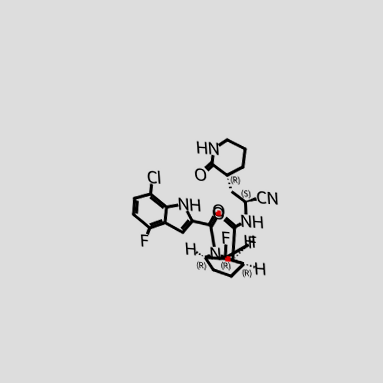 N#C[C@H](C[C@H]1CCCNC1=O)NC(=O)[C@H]1[C@H]2CC[C@H](CC2(F)F)N1C(=O)c1cc2c(F)ccc(Cl)c2[nH]1